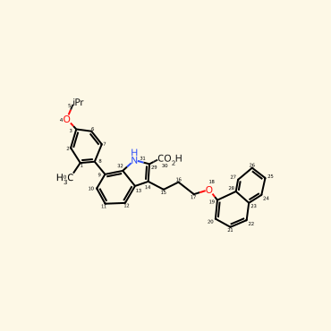 Cc1cc(OC(C)C)ccc1-c1cccc2c(CCCOc3cccc4ccccc34)c(C(=O)O)[nH]c12